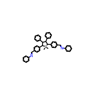 C[Si]1(C)C(c2ccc(/C=N/c3ccccc3)cc2)C(c2ccccc2)C(c2ccccc2)C1c1ccc(/C=N/c2ccccc2)cc1